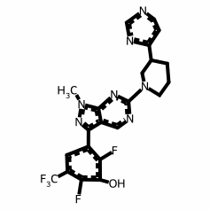 Cn1nc(-c2cc(C(F)(F)F)c(F)c(O)c2F)c2cnc(N3CCCC(c4ccncn4)C3)nc21